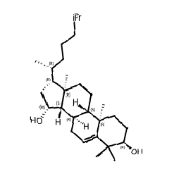 CC(C)CCC[C@@H](C)[C@H]1C[C@@H](O)[C@H]2[C@@H]3CC=C4C(C)(C)[C@H](O)CC[C@]4(C)[C@H]3CC[C@@]21C